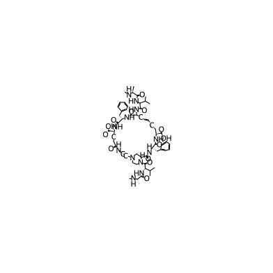 CN[C@@H](C)C(=O)N[C@H](C(=O)N[C@H]1C/C=C/CC[C@@H](C(=O)O)NC(=O)[C@H](Cc2ccccc2)NC(=O)[C@@H]2CN(CCNC(=O)CC[C@@H](C(=O)O)NC(=O)[C@H](Cc3ccccc3)NC1=O)CCN2C(=O)[C@@H](NC(=O)[C@H](C)NC)C(C)C)C(C)C